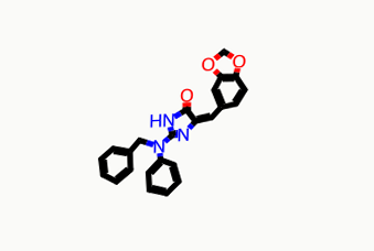 O=C1NC(N(Cc2ccccc2)c2ccccc2)=NC1=Cc1ccc2c(c1)OCO2